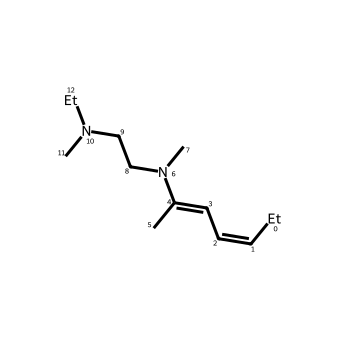 CC/C=C\C=C(/C)N(C)CCN(C)CC